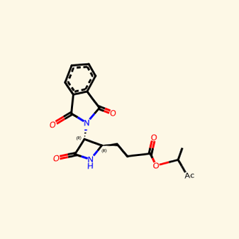 CC(=O)C(C)OC(=O)CC[C@H]1NC(=O)[C@@H]1N1C(=O)c2ccccc2C1=O